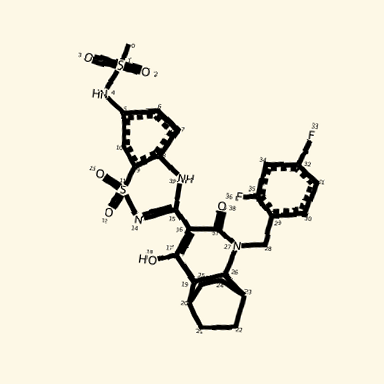 CS(=O)(=O)Nc1ccc2c(c1)S(=O)(=O)N=C(C1=C(O)C3C4CCC(CC4)C3N(Cc3ccc(F)cc3F)C1=O)N2